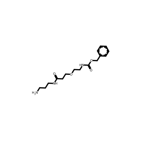 NCCCNC(=O)CCOCCNC(=O)OCc1ccccc1